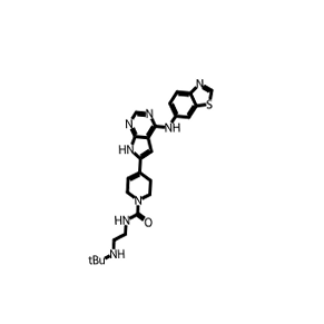 CC(C)(C)NCCNC(=O)N1CC=C(c2cc3c(Nc4ccc5ncsc5c4)ncnc3[nH]2)CC1